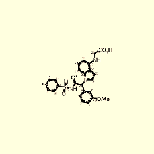 COc1cccc(C(C(=O)NS(=O)(=O)c2ccccc2)n2ccc3c(NCC(=O)O)cccc32)c1